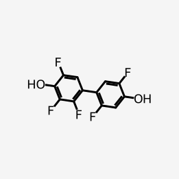 Oc1cc(F)c(-c2cc(F)c(O)c(F)c2F)cc1F